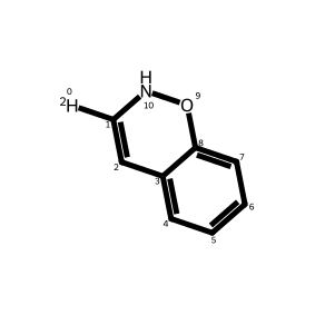 [2H]C1=Cc2ccccc2ON1